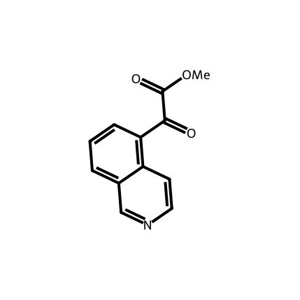 COC(=O)C(=O)c1cccc2cnccc12